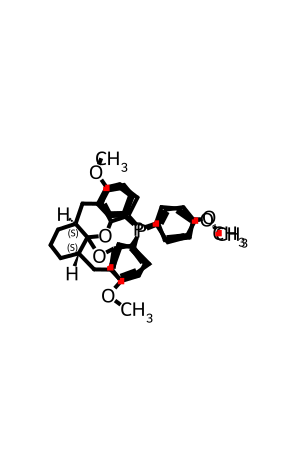 COc1ccc(P(c2ccc(OC)cc2)c2cccc3c2OC24Oc5c(cccc5P(c5ccc(OC)cc5)c5ccc(OC)cc5)C[C@@H]2CCC[C@H]4C3)cc1